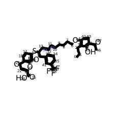 CCCc1c(OCCCC/C=C/C=C/C(Sc2ccc3c(=O)cc(C(=O)O)oc3c2)C(O)c2cccc(C(F)(F)F)c2)ccc(C(C)=O)c1O